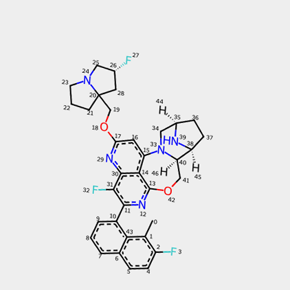 Cc1c(F)ccc2cccc(-c3nc4c5c(cc(OCC67CCCN6C[C@H](F)C7)nc5c3F)N3C[C@H]5CC[C@H](N5)[C@H]3CO4)c12